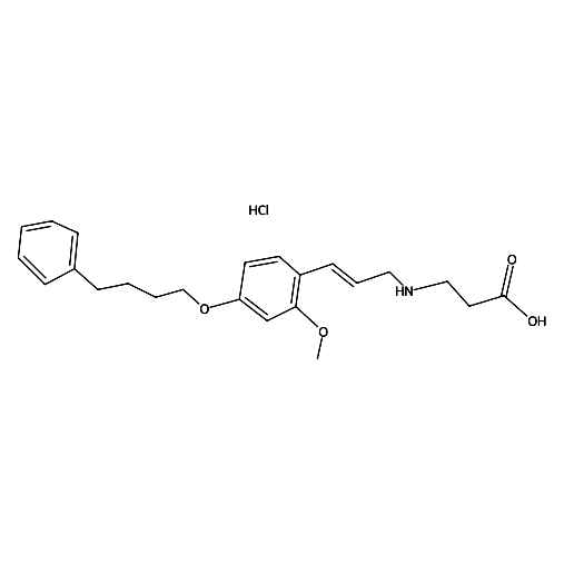 COc1cc(OCCCCc2ccccc2)ccc1C=CCNCCC(=O)O.Cl